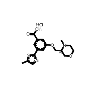 Cc1cnc(-c2cc(OC[C@@H]3COCCN3C)cc(C(=O)O)c2)s1.Cl